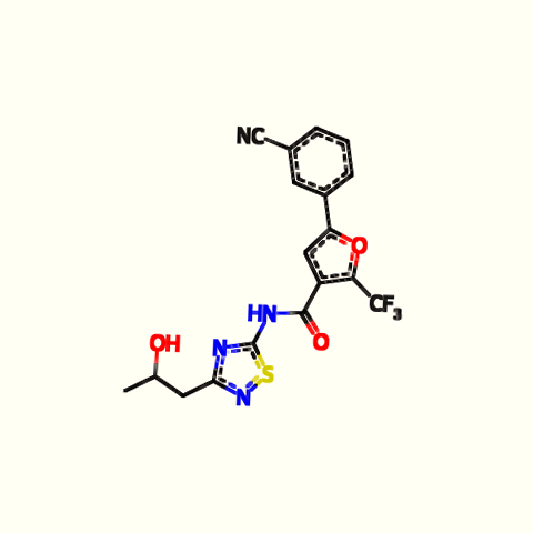 CC(O)Cc1nsc(NC(=O)c2cc(-c3cccc(C#N)c3)oc2C(F)(F)F)n1